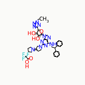 CCn1nnc([C@H]2O[C@@H](n3cnc4c(NCC(c5ccccc5)c5ccccc5)nc(N5CC[C@@H](N6CCCC6)C5)nc43)[C@H](O)[C@@H]2O)n1.O=C(O)C(F)(F)F